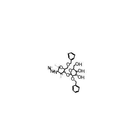 C[C@@H]1OC(COCc2ccccc2)[C@@H](O[C@@H]2OC(CO)[C@@H](O)[C@H](O)C2OCc2ccccc2)[C@H](C)C1N=[N+]=[N-]